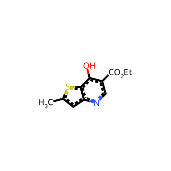 CCOC(=O)c1cnc2cc(C)sc2c1O